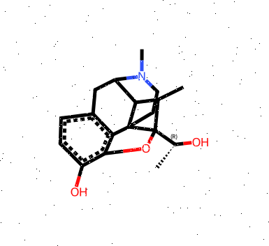 CC1C2C3Cc4ccc(O)c5c4C2(CCN3C)C1([C@@H](C)O)O5